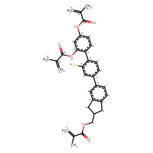 C=C(C)C(=O)OCC1Cc2ccc(-c3ccc(-c4ccc(OC(=O)C(=C)C)cc4OC(=O)C(=C)C)c(F)c3)cc2C1